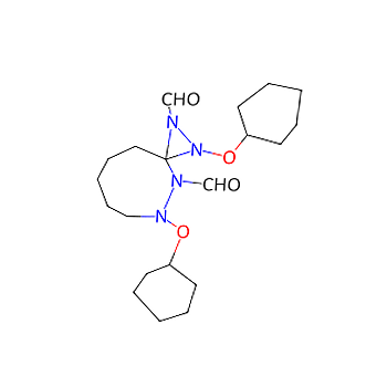 O=CN1N(OC2CCCCC2)CCCCCC12N(C=O)N2OC1CCCCC1